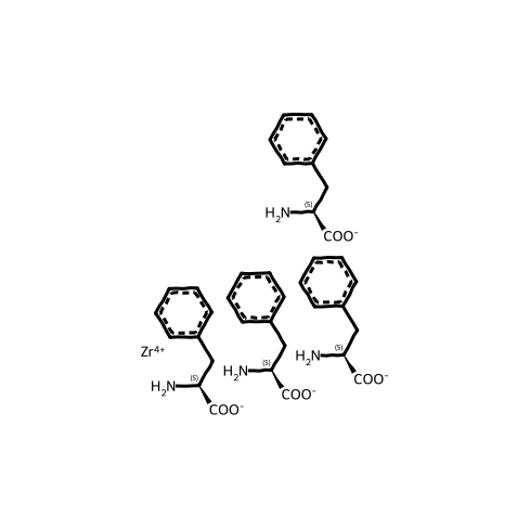 N[C@@H](Cc1ccccc1)C(=O)[O-].N[C@@H](Cc1ccccc1)C(=O)[O-].N[C@@H](Cc1ccccc1)C(=O)[O-].N[C@@H](Cc1ccccc1)C(=O)[O-].[Zr+4]